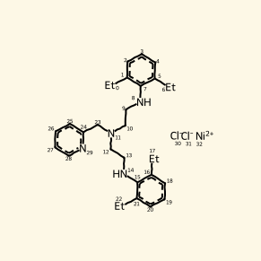 CCc1cccc(CC)c1NCCN(CCNc1c(CC)cccc1CC)Cc1ccccn1.[Cl-].[Cl-].[Ni+2]